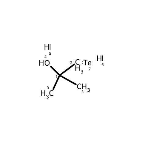 CC(C)(C)O.I.I.[Te]